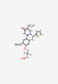 COc1cc2c(cc1OCC(C)(C)CO)CC(c1cccs1)n1cc(C(=O)O)c(=O)cc1-2